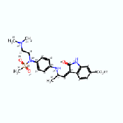 CCOC(=O)c1ccc2c(c1)NC(=O)C2=CC(C)Nc1ccc(N(CCN(C)C)S(C)(=O)=O)cc1